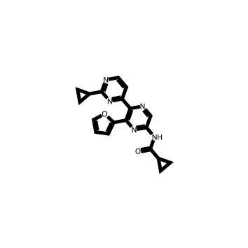 O=C(Nc1cnc(-c2ccnc(C3CC3)n2)c(-c2ccco2)n1)C1CC1